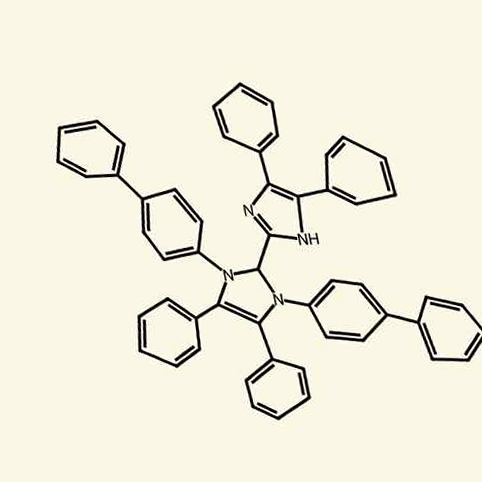 c1ccc(C2=C(c3ccccc3)N(c3ccc(-c4ccccc4)cc3)C(c3nc(-c4ccccc4)c(-c4ccccc4)[nH]3)N2c2ccc(-c3ccccc3)cc2)cc1